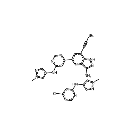 Cn1cc(Nc2cc(-c3cc(C#CC(C)(C)C)c4[nH]nc(N)c4c3)ccn2)cn1.Cn1cc(Nc2cc(Cl)ccn2)cn1